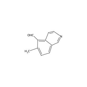 Cc1ccc2cnccc2c1C=O